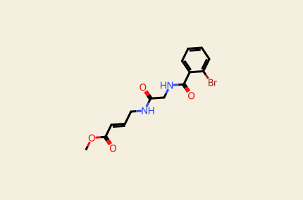 COC(=O)/C=C/CNC(=O)CNC(=O)c1ccccc1Br